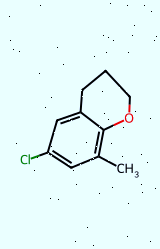 Cc1cc(Cl)cc2c1OCCC2